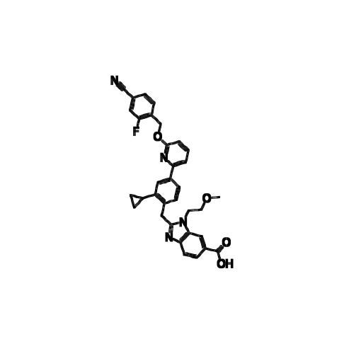 COCCn1c(Cc2ccc(-c3cccc(OCc4ccc(C#N)cc4F)n3)cc2C2CC2)nc2ccc(C(=O)O)cc21